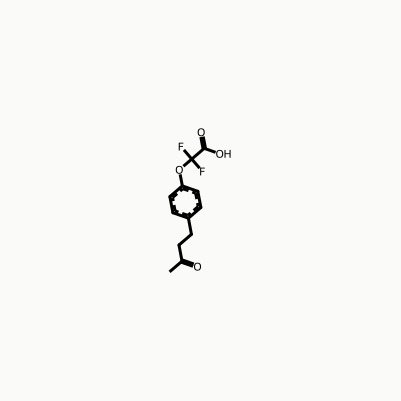 CC(=O)CCc1ccc(OC(F)(F)C(=O)O)cc1